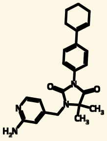 CC1(C)C(=O)N(c2ccc(C3=CCCCC3)cc2)C(=O)N1Cc1ccnc(N)c1